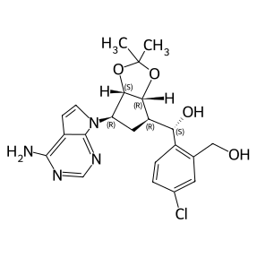 CC1(C)O[C@@H]2[C@@H]([C@H](O)c3ccc(Cl)cc3CO)C[C@@H](n3ccc4c(N)ncnc43)[C@@H]2O1